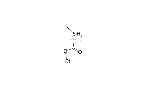 CCOC(=O)C(C)(C)[SiH2]C